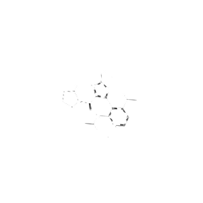 CCOC(=O)c1nc(C(=O)N2CCCC2C)c(-c2c(C(F)F)ccnc2NC(CC)C(F)(F)F)s1